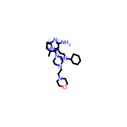 CC1C/C=C(NCCCNC2CCCCC2)/N=C(N)\C=C/1N1CCN(CCN2CCOCC2)CC1